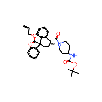 C=CCOC(=O)C1(c2ccccc2)CC[C@@H](C(=O)N2CCC(NC(=O)OC(C)(C)C)CC2)c2ccccc21